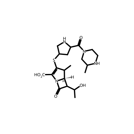 CC1CN(C(=O)C2CC(SC3=C(C(=O)O)N4C(=O)C(C(C)O)[C@@H]4C3C)CN2)CCN1